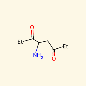 CCC(=O)CC(N)C(=O)CC